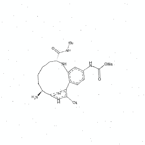 COC(=O)Nc1ccc2c(c1)N[C@@H](C(=O)NC(C)(C)C)CCCC[C@H](N)c1nc-2c(C#N)[nH]1